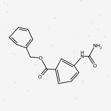 NC(=O)Nc1cccc(C(=O)OCc2ccccc2)c1